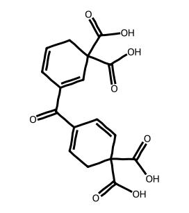 O=C(C1=CCC(C(=O)O)(C(=O)O)C=C1)C1=CC(C(=O)O)(C(=O)O)CC=C1